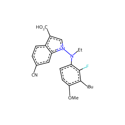 CCC(C)c1c(OC)ccc(N(CC)n2cc(C(=O)O)c3ccc(C#N)cc32)c1F